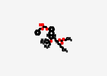 CCCCC[C@@H](CC[C@H]1C(O[Si](CC)(CC)CC)C[C@@H]2Cc3c(cccc3OCC(O)OCc3ccccc3)C[C@@H]21)OC(=O)OCC